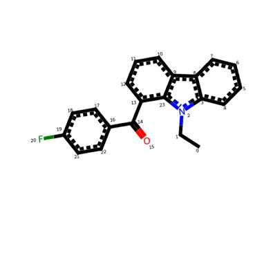 CCn1c2ccccc2c2cccc(C(=O)c3ccc(F)cc3)c21